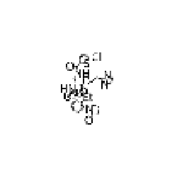 CCc1c(N2CCCC2=O)cccc1S(=O)(=O)N[C@@H](CNC(=O)c1ccc(Cl)s1)C(=O)OCCc1nccn1C